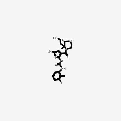 Cc1c(F)cccc1NC(=O)Nc1sc(C(C)(C)C)cc1C(=O)N1CCNC(=O)C1(C)CCO